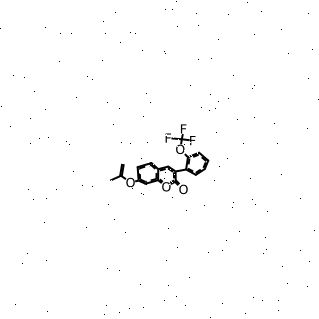 C=C(C)Oc1ccc2cc(-c3ccccc3OC(F)(F)F)c(=O)oc2c1